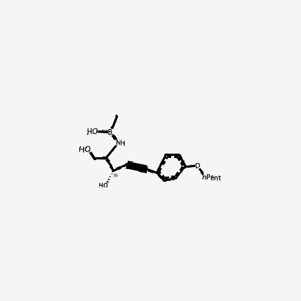 CCCCCOc1ccc(C#C[C@H](O)C(CO)NB(C)O)cc1